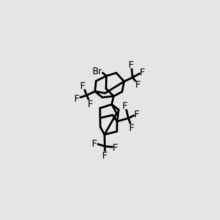 FC(F)(F)C12CC3CC(C(F)(F)F)(C1)CC(C14CC5(Br)CC(C(F)(F)F)(CC(C(F)(F)F)(C5)C1)C4)(C3)C2